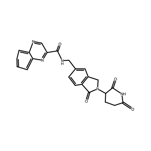 O=C1CCC(N2Cc3cc(CNC(=O)c4cnc5ccccc5n4)ccc3C2=O)C(=O)N1